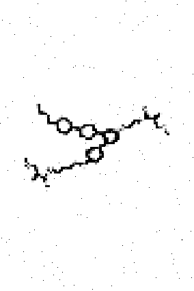 C=C(COC)C(=O)OCCCCOc1ccc(-c2ccc(OCCOC(=O)C(=C)COC)cc2C2CCC(C3CCC(CCCC)CC3)CC2)cc1